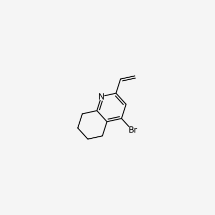 C=Cc1cc(Br)c2c(n1)CCCC2